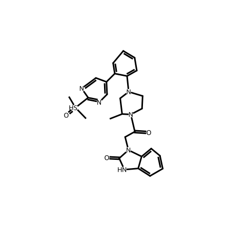 CC1CN(c2ccccc2-c2cnc([SH](C)(C)=O)nc2)CCN1C(=O)Cn1c(=O)[nH]c2ccccc21